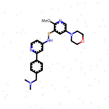 COc1ncc(N2CCOCC2)cc1SNc1ccnc(-c2ccc(CN(C)C)cc2)c1